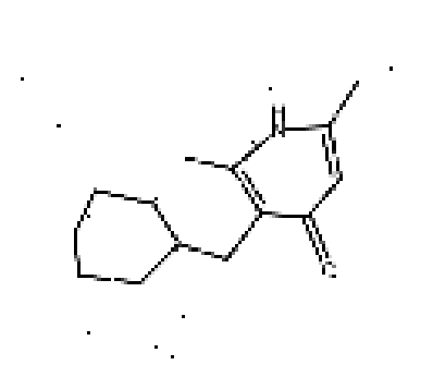 Cc1cc(=O)c(CC2CCCCC2)c(C)[nH]1